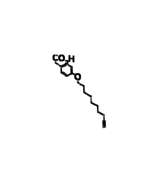 C#CCCCCCCCCOc1ccc(CC(=O)O)cc1